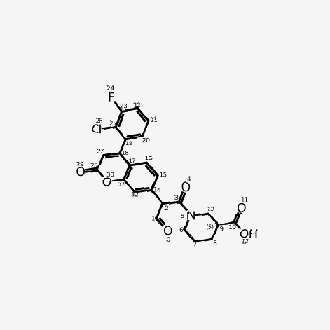 O=CC(C(=O)N1CCC[C@H](C(=O)O)C1)c1ccc2c(-c3cccc(F)c3Cl)cc(=O)oc2c1